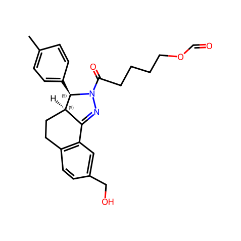 Cc1ccc([C@@H]2[C@@H]3CCc4ccc(CO)cc4C3=NN2C(=O)CCCCOC=O)cc1